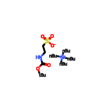 CC(C)(C)OC(=O)NCCS(=O)(=O)[O-].CCCC[N+](CCCC)(CCCC)CCCC